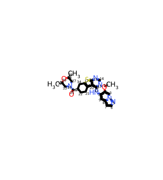 COc1cn2nccc2cc1Nc1ncnc2sc3c(c12)CC[C@H](C(=O)N1C[C@@H](C)O[C@@H](C)C1)C3